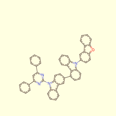 c1ccc(-c2cc(-c3ccccc3)nc(-n3c4ccccc4c4cc(-c5cccc6c5c5ccccc5n6-c5ccc6oc7ccccc7c6c5)ccc43)n2)cc1